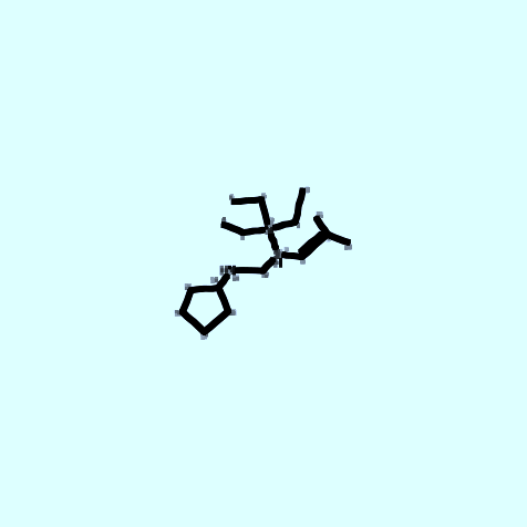 CC[Si](CC)(CC)[SiH](C=C(C)C)CNC1CCCC1